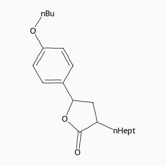 CCCCCCCC1CC(c2ccc(OCCCC)cc2)OC1=O